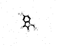 Nc1ccc2c(c1)C(=O)C(=O)N2CC(F)(F)F